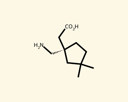 CC1(C)CC[C@](CN)(CC(=O)O)C1